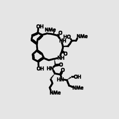 CNCCC[C@H](NC(=O)[C@@H]1Cc2cc(ccc2O)-c2ccc(O)c(c2)C[C@H](NC)C(=O)N[C@@H](C[C@@H](O)CNC)C(=O)N1)C(=O)N[C@H](CO)CNC